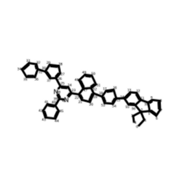 CCC1(CC)c2ccccc2-c2ccc(-c3ccc(-c4ccc(-c5cc(-c6cccc(-c7ccccc7)c6)nc(-c6ccccc6)n5)c5ccccc45)cc3)cc21